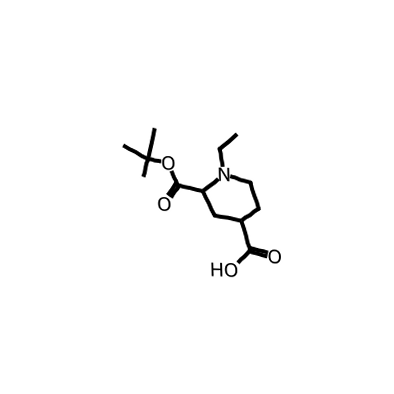 CCN1CCC(C(=O)O)CC1C(=O)OC(C)(C)C